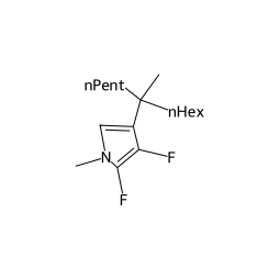 CCCCCCC(C)(CCCCC)c1cn(C)c(F)c1F